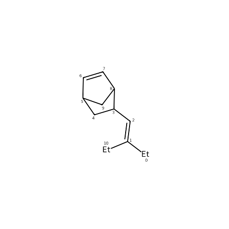 CCC(=CC1CC2C=CC1C2)CC